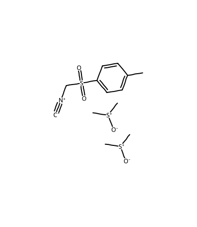 C[S+](C)[O-].C[S+](C)[O-].[C-]#[N+]CS(=O)(=O)c1ccc(C)cc1